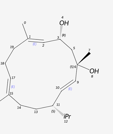 C/C1=C\[C@H](O)C[C@](C)(O)/C=C/[C@H](C(C)C)CC/C(C)=C/CC1